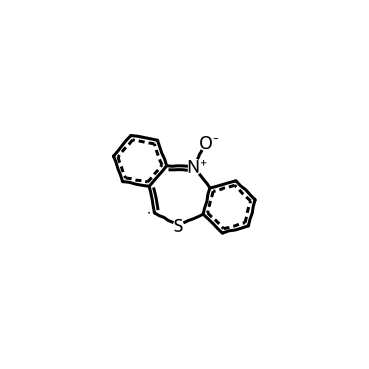 [O-][N+]1=c2ccccc2=[C]Sc2ccccc21